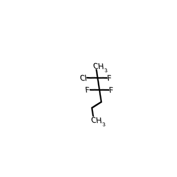 CCCC(F)(F)C(C)(F)Cl